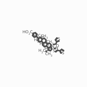 C=C(C)[C@@H]1CC[C@]2(N(CC(=O)c3ccsc3)c3nc(-c4ccsc4)cs3)CC[C@]3(C)[C@H](CC[C@@H]4[C@@]5(C)CC=C(c6ccc(C(=O)O)cc6)C(C)(C)[C@@H]5CC[C@]43C)[C@@H]12